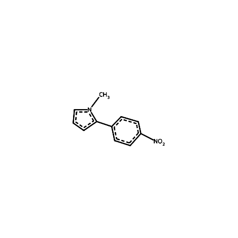 Cn1cccc1-c1ccc([N+](=O)[O-])cc1